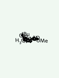 COC(=O)c1ccc(NC2CCc3cc4nc(C)n(COC(=O)C(C)(C)C)c(=O)c4cc32)cn1